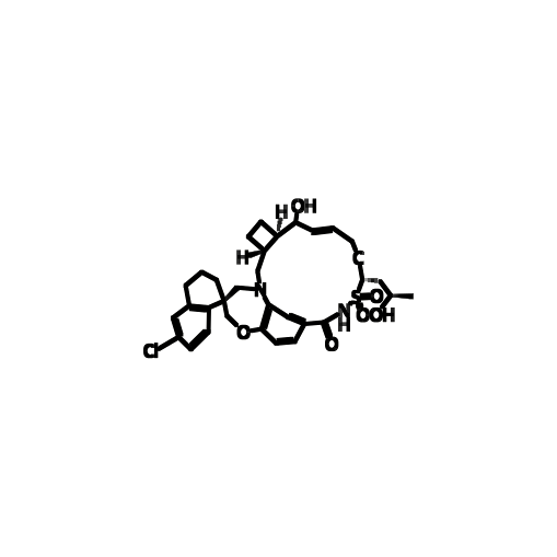 C[C@@H](O)C[C@H]1CC/C=C/C(O)[C@@H]2CC[C@H]2CN2C[C@@]3(CCCc4cc(Cl)ccc43)COc3ccc(cc32)C(=O)NS1(=O)=O